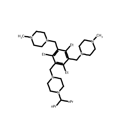 CCCC(CCC)N1CCN(Cc2c(CC)c(CN3CCN(C)CC3)c(CC)c(CN3CCN(C)CC3)c2CC)CC1